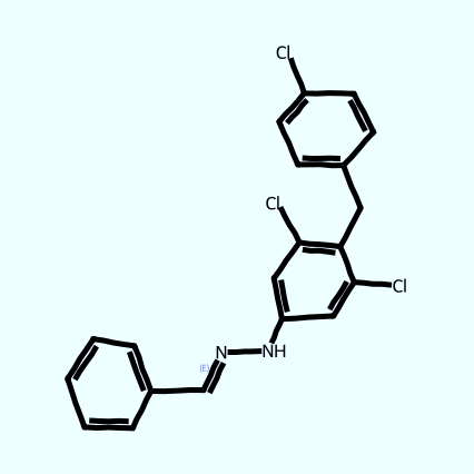 Clc1ccc(Cc2c(Cl)cc(N/N=C/c3ccccc3)cc2Cl)cc1